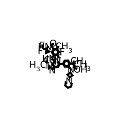 Cc1c(C(=O)NC2(C(F)F)CC2)cc(Nc2nc(-c3ccc4c(c3)N([C@H]3C[C@@H](N5CCCCC5)C3)C(O)C4(C)C)cc3ncn(C(C)C)c23)c(F)c1F